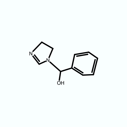 OC(c1ccccc1)N1C=NCC1